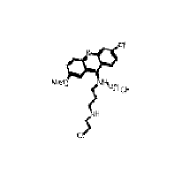 COc1ccc2nc3cc(Cl)ccc3c(NCCCNCCCl)c2c1.Cl.Cl